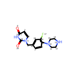 O=c1ccn(Cc2ccc(N3CCNCC3)c(F)c2)c(=O)[nH]1